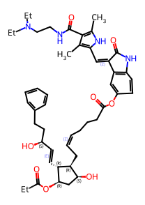 CCC(=O)O[C@@H]1C[C@H](O)[C@H](C/C=C\CCCC(=O)Oc2ccc3c(c2)/C(=C/c2[nH]c(C)c(C(=O)NCCN(CC)CC)c2C)C(=O)N3)[C@H]1/C=C/[C@@H](O)CCc1ccccc1